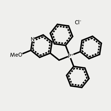 COc1cc(C[P+](c2ccccc2)(c2ccccc2)c2ccccc2)ccn1.[Cl-]